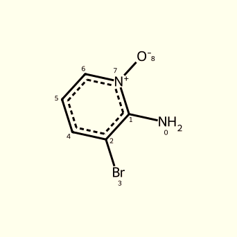 Nc1c(Br)ccc[n+]1[O-]